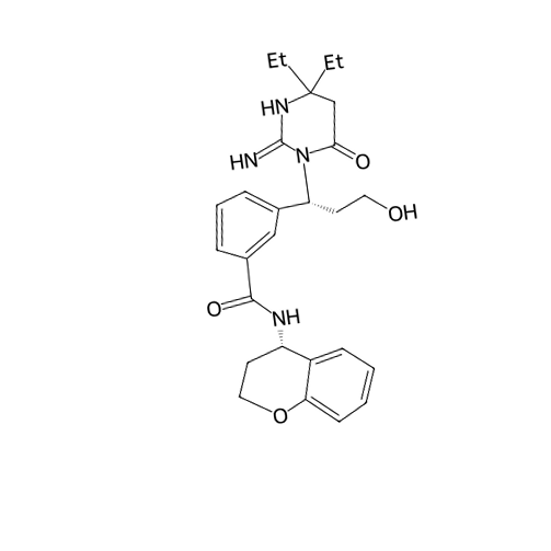 CCC1(CC)CC(=O)N([C@H](CCO)c2cccc(C(=O)N[C@H]3CCOc4ccccc43)c2)C(=N)N1